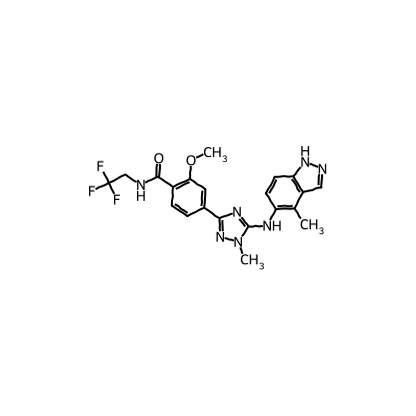 COc1cc(-c2nc(Nc3ccc4[nH]ncc4c3C)n(C)n2)ccc1C(=O)NCC(F)(F)F